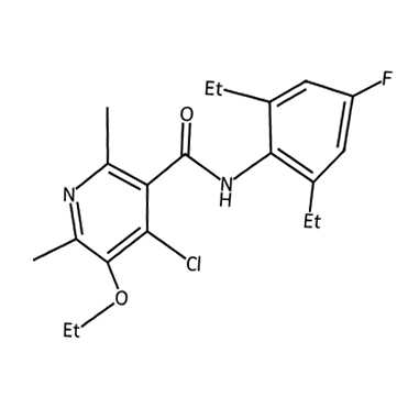 CCOc1c(C)nc(C)c(C(=O)Nc2c(CC)cc(F)cc2CC)c1Cl